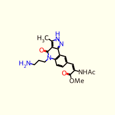 COC(=O)C(=Cc1ccc2c(c1)c1n[nH]c(C)c1c(=O)n2CCCN)NC(C)=O